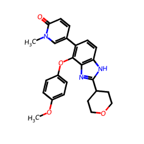 COc1ccc(Oc2c(-c3ccc(=O)n(C)c3)ccc3[nH]c(C4CCOCC4)nc23)cc1